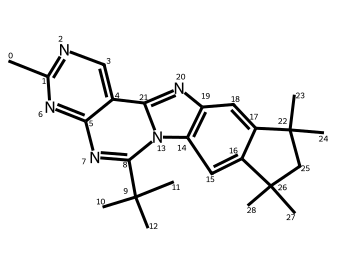 Cc1ncc2c(n1)nc(C(C)(C)C)n1c3cc4c(cc3nc21)C(C)(C)CC4(C)C